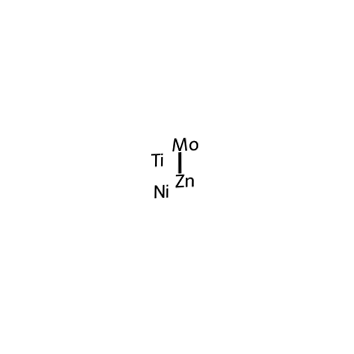 [Ni].[Ti].[Zn][Mo]